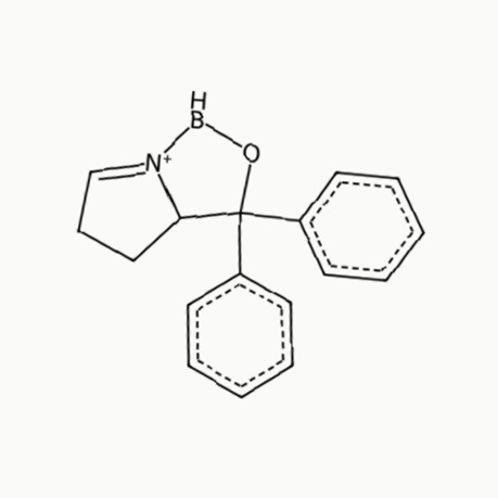 B1OC(c2ccccc2)(c2ccccc2)C2CCC=[N+]12